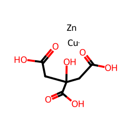 O=C(O)CC(O)(CC(=O)O)C(=O)O.[Cu].[Zn]